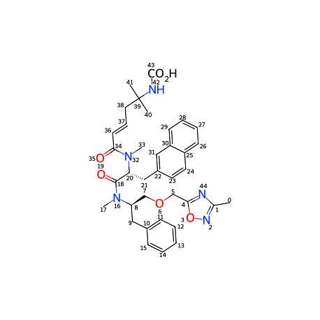 Cc1noc(COC[C@@H](Cc2ccccc2)N(C)C(=O)[C@@H](Cc2ccc3ccccc3c2)N(C)C(=O)/C=C/CC(C)(C)NC(=O)O)n1